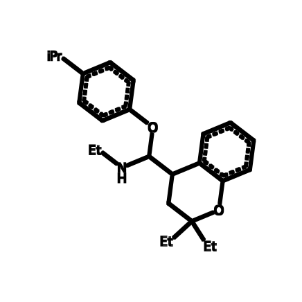 CCNC(Oc1ccc(C(C)C)cc1)C1CC(CC)(CC)Oc2ccccc21